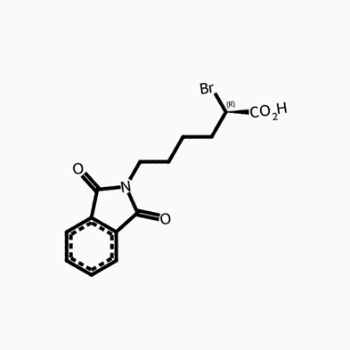 O=C(O)[C@H](Br)CCCCN1C(=O)c2ccccc2C1=O